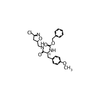 COc1ccc(C[C@H](NC(=O)OCc2ccccc2)C(=O)NCC2CC(Cl)=NO2)cc1